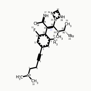 Cc1cc(C#CCCN(C)C)cc(F)c1/C(C(=N)Cl)=C(\N(C)[C@H](C)C(C)(C)C)n1nc[nH]1